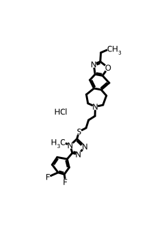 CCc1nc2cc3c(cc2o1)CCN(CCCSc1nnc(-c2ccc(F)c(F)c2)n1C)CC3.Cl